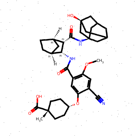 COc1cc(C#N)c(O[C@H]2CC[C@@](C)(C(=O)O)CC2)cc1C(=O)N[C@@H]1[C@H]2CC[C@H](C2)[C@@H]1C(=O)N[C@]12CC3CC(C[C@@](O)(C3)C1)C2